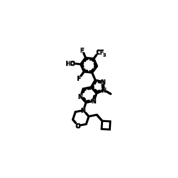 Cn1nc(-c2cc(C(F)(F)F)c(F)c(O)c2F)c2cnc(N3CCOCC3CC3CCC3)nc21